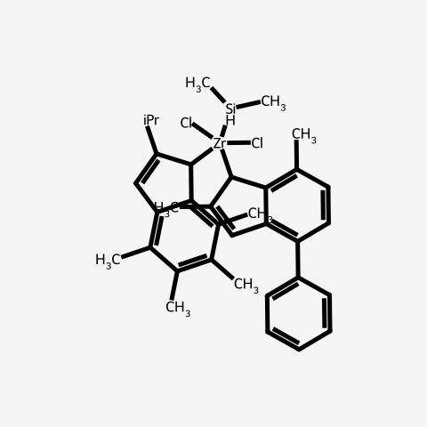 CC1=Cc2c(-c3ccccc3)ccc(C)c2[CH]1[Zr]([Cl])([Cl])([CH]1C(C(C)C)=Cc2c(C)c(C)c(C)c(C)c21)[SiH](C)C